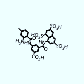 Cc1ccc(C(=O)Nc2cc(C(=O)O)cc(C(=O)Nc3cc(S(=O)(=O)O)cc4cc(S(=O)(=O)O)cc(S(=O)(=O)O)c34)c2)c(N)c1